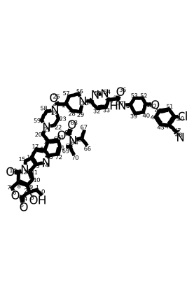 CC[C@@]1(O)C(=O)OCc2c1cc1n(c2=O)Cc2cc3c(CN4CCN(C(=O)C5CCN(c6ccc(C(=O)NC7CCC(Oc8ccc(C#N)c(Cl)c8)CC7)nn6)CC5)CC4)c(OC(=O)N(C(C)C)C(C)C)ccc3nc2-1